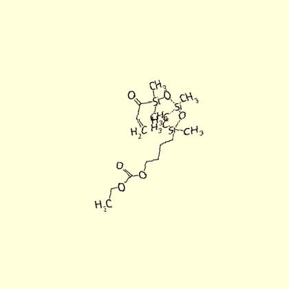 C=CC(=O)[Si](C)(C)O[Si](C)(C)O[Si](C)(C)CCCCOC(=O)OCC